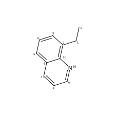 CCc1cccc2[c]ccnc12